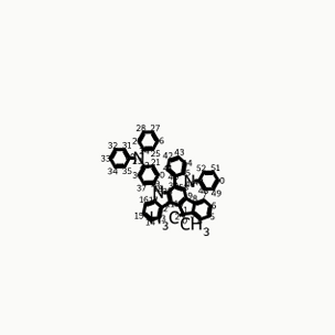 CC1(C)c2ccccc2-c2c1c1c3ccccc3n(-c3ccc(N(c4ccccc4)c4ccccc4)cc3)c1c1c3ccccc3n(-c3ccccc3)c21